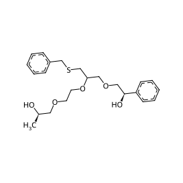 C[C@@H](O)COCCOC(COC[C@H](O)c1ccccc1)CSCc1ccccc1